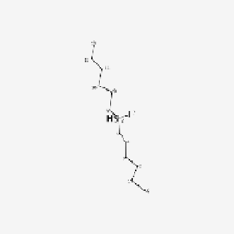 CCCCCC[SiH](I)CCCCCC